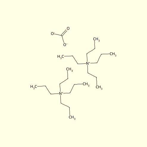 CCC[N+](CCC)(CCC)CCC.CCC[N+](CCC)(CCC)CCC.O=C([O-])[O-]